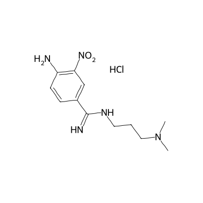 CN(C)CCCNC(=N)c1ccc(N)c([N+](=O)[O-])c1.Cl